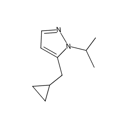 CC(C)n1nccc1CC1CC1